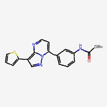 CC(C)COC(=O)Nc1cccc(-c2ccnc3c(-c4cccs4)cnn23)c1